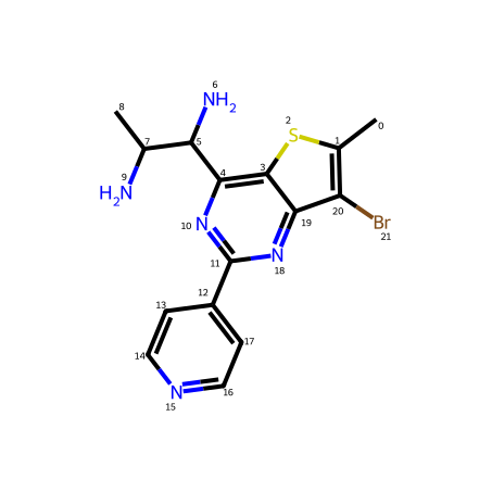 Cc1sc2c(C(N)C(C)N)nc(-c3ccncc3)nc2c1Br